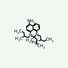 CCCC1(C)N(CC(C)CC)c2cccc3c(N)ccc(c23)N1CC(C)CC